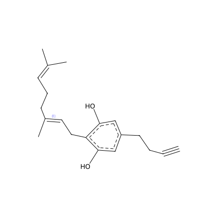 C#CCCc1cc(O)c(C/C=C(\C)CCC=C(C)C)c(O)c1